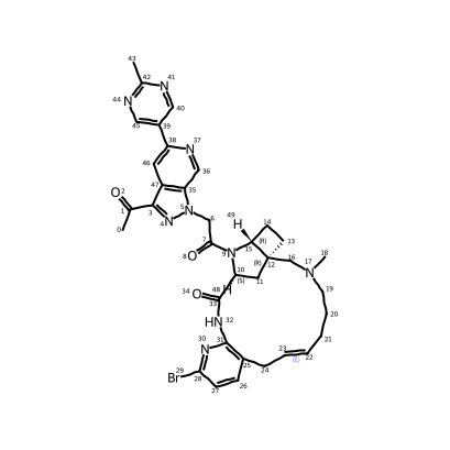 CC(=O)c1nn(CC(=O)N2[C@H]3C[C@]4(CC[C@@H]24)CN(C)CCC/C=C/Cc2ccc(Br)nc2NC3=O)c2cnc(-c3cnc(C)nc3)cc12